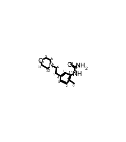 Cc1ccc(CCN2CCOCC2)cc1NC(N)=O